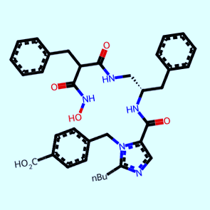 CCCCc1ncc(C(=O)N[C@H](CNC(=O)C(Cc2ccccc2)C(=O)NO)Cc2ccccc2)n1Cc1ccc(C(=O)O)cc1